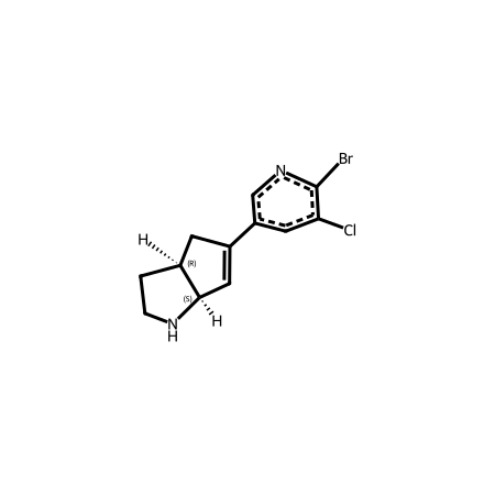 Clc1cc(C2=C[C@H]3NCC[C@H]3C2)cnc1Br